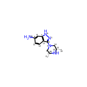 C[C@@H]1CN(c2n[nH]c3cc(N)ccc23)C[C@H](C)N1